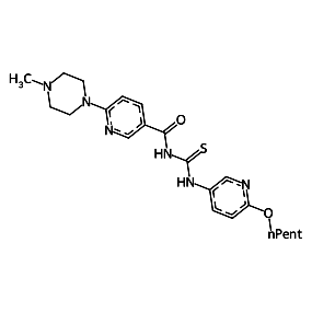 CCCCCOc1ccc(NC(=S)NC(=O)c2ccc(N3CCN(C)CC3)nc2)cn1